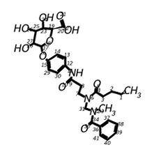 CCCCC(=O)N(CCC(=O)Nc1ccc(OC2O[C@H](C(=O)O)C(O)C(O)C2O)cc1)CN(C)C(=O)c1ccccc1